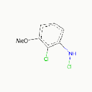 COc1cccc(NCl)c1Cl